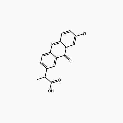 CC(C(=O)O)c1ccc2nc3ccc(Cl)cn3c(=O)c2c1